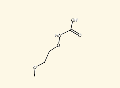 COCCONC(=O)O